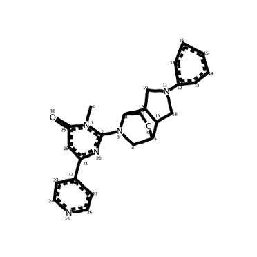 Cn1c(N2CC3CCC2C2CN(c4ccccc4)CC32)nc(-c2ccncc2)cc1=O